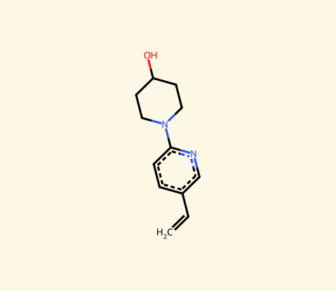 C=Cc1ccc(N2CCC(O)CC2)nc1